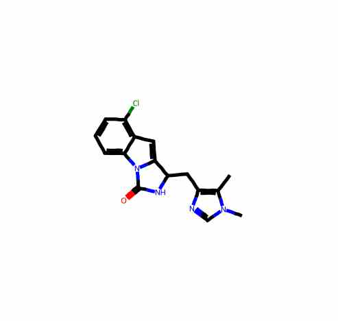 Cc1c(CC2NC(=O)n3c2cc2c(Cl)cccc23)ncn1C